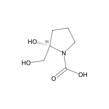 O=C(O)N1CCC[C@]1(O)CO